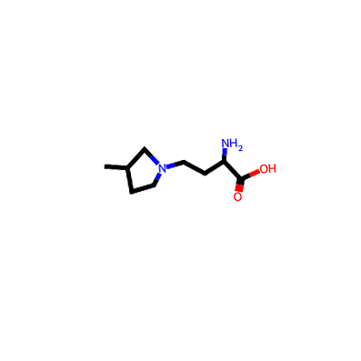 CC1CCN(CCC(N)C(=O)O)C1